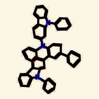 c1ccc(-c2ccc(N(c3ccccc3)c3ccc4c5ccccc5n(-c5ccccc5)c4c3)c(-c3ccc4c5ccccc5n(-c5ccccc5)c4c3)c2)cc1